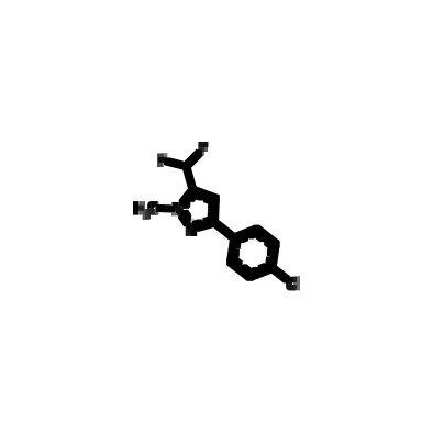 Cn1nc(-c2ccc(Cl)cc2)cc1C(F)F